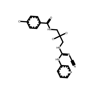 N#CN=C(NCC(Cl)(Cl)CNC(=O)c1ccc(Cl)cc1)Nc1cccnc1